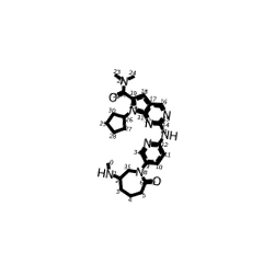 CNC1CCCC(=O)N(c2ccc(Nc3ncc4cc(C(=O)N(C)C)n(C5CCCC5)c4n3)nc2)C1